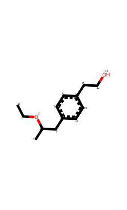 CCOC(C)Cc1ccc(CCO)cc1